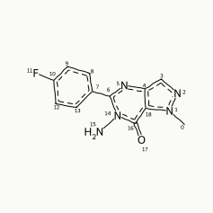 Cn1ncc2nc(-c3ccc(F)cc3)n(N)c(=O)c21